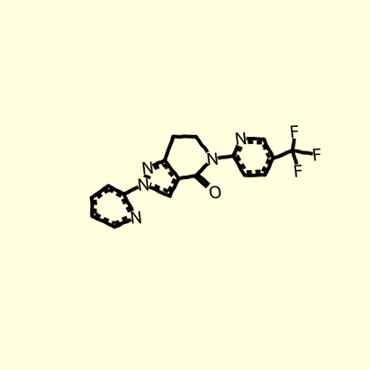 O=C1c2cn(-c3ccccn3)nc2CCN1c1ccc(C(F)(F)F)cn1